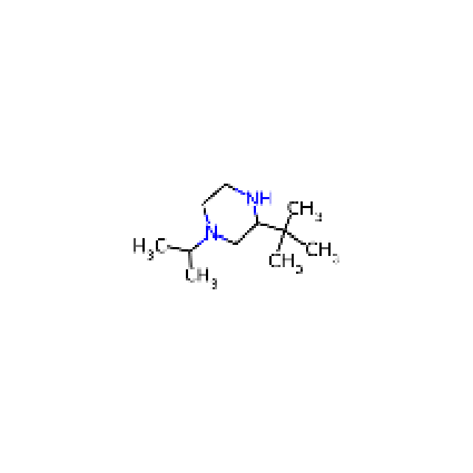 CC(C)N1CCNC(C(C)(C)C)C1